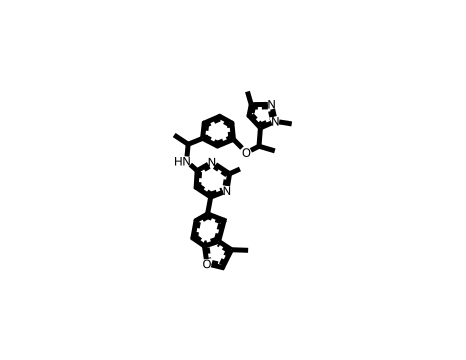 Cc1cc(C(C)Oc2cccc(C(C)Nc3cc(-c4ccc5occ(C)c5c4)nc(C)n3)c2)n(C)n1